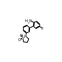 Nc1ccc(F)cc1-c1cccc(N2CCCS2(=O)=O)c1